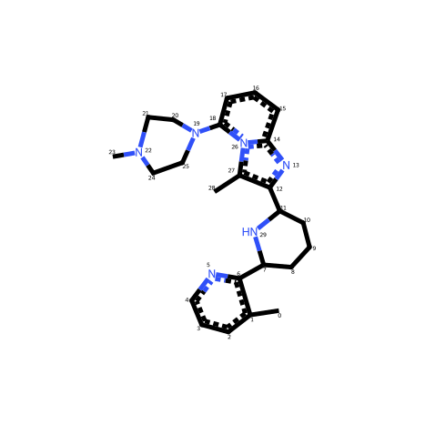 Cc1cccnc1C1CCCC(c2nc3cccc(N4CCN(C)CC4)n3c2C)N1